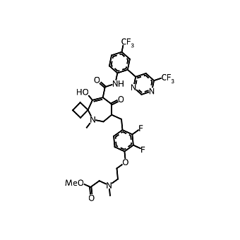 COC(=O)CN(C)CCOc1ccc(CC2CN(C)C3(CCC3)C(O)=C(C(=O)Nc3ccc(C(F)(F)F)cc3-c3cc(C(F)(F)F)ncn3)C2=O)c(F)c1F